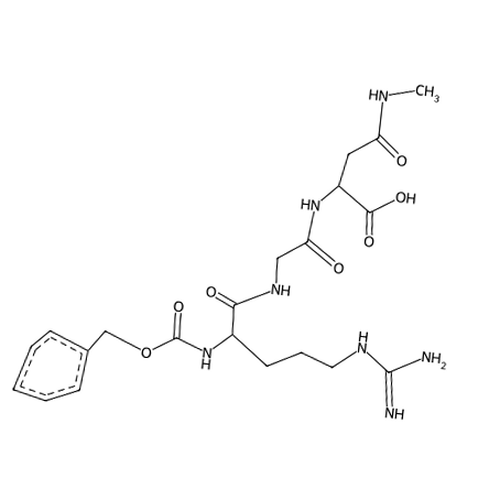 CNC(=O)CC(NC(=O)CNC(=O)C(CCCNC(=N)N)NC(=O)OCc1ccccc1)C(=O)O